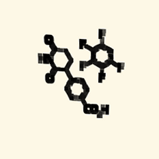 Fc1cc(F)c(F)c(F)c1F.O=C1CCC(c2ccc(C(=O)O)cc2)C(=O)N1